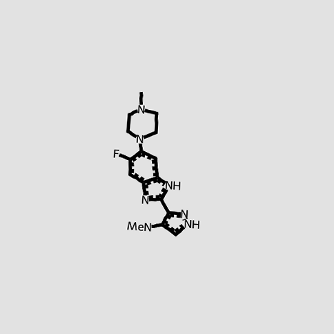 CNc1c[nH]nc1-c1nc2cc(F)c(N3CCN(C)CC3)cc2[nH]1